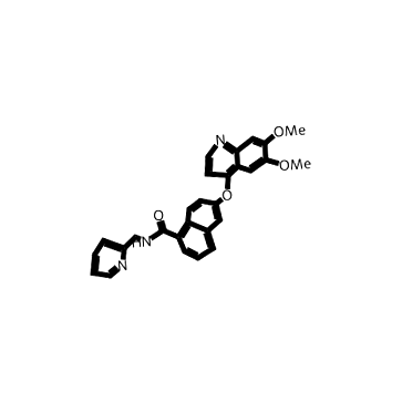 COc1cc2nccc(Oc3ccc4c(C(=O)NCc5ccccn5)cccc4c3)c2cc1OC